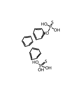 OP(O)(O)=S.OP(O)(O)=S.c1ccccc1.c1ccccc1.c1ccccc1